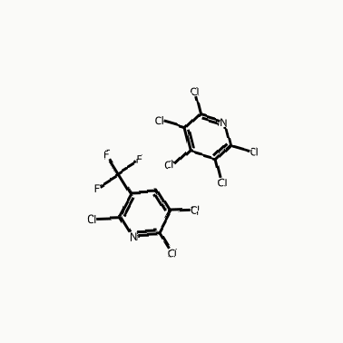 Clc1nc(Cl)c(Cl)c(Cl)c1Cl.FC(F)(F)c1cc(Cl)c(Cl)nc1Cl